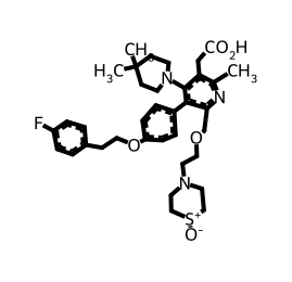 Cc1nc(COCCN2CC[S+]([O-])CC2)c(-c2ccc(OCCc3ccc(F)cc3)cc2)c(N2CCC(C)(C)CC2)c1CC(=O)O